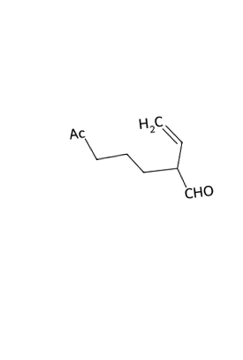 C=CC(C=O)CCCC(C)=O